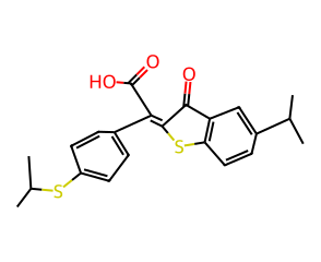 CC(C)Sc1ccc(C(C(=O)O)=C2Sc3ccc(C(C)C)cc3C2=O)cc1